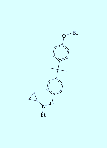 CCC(C)Oc1ccc(C(C)(C)c2ccc(ON(CC)C3CC3)cc2)cc1